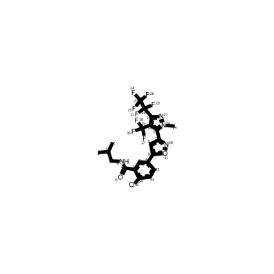 CC(C)CNC(=O)c1cc(-c2cc(-c3c(C(F)(F)F)c(C(F)(F)C(F)(F)F)nn3C)no2)ccc1Cl